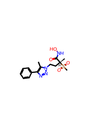 Cc1c(-c2ccccc2)nnn1CC[C@](C)(C(=O)NO)S(C)(=O)=O